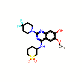 COc1cc2c(NC3CCCS(=O)(=O)C3)nc(N3CCC(F)(F)CC3)nc2cc1O